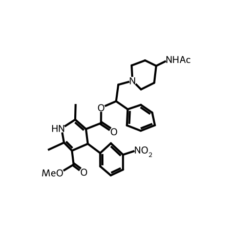 COC(=O)C1=C(C)NC(C)=C(C(=O)OC(CN2CCC(NC(C)=O)CC2)c2ccccc2)C1c1cccc([N+](=O)[O-])c1